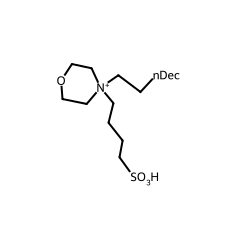 CCCCCCCCCCCC[N+]1(CCCCS(=O)(=O)O)CCOCC1